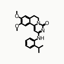 COc1cc2c(cc1OC)-c1cc(Nc3ccccc3C(C)C)nc(=O)n1CC2